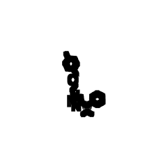 Cc1ccc(COCCn2cc([C@H](c3ccccc3)C(C)C)nn2)cc1